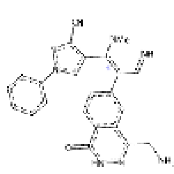 CN/C(=C(\C=N)c1ccc2c(=O)[nH]nc(CN)c2c1)c1cn(-c2ccccc2)nc1C#N